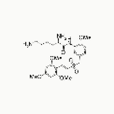 COc1cc(OC)c(/C=C/S(=O)(=O)Cc2ccc(OC)c(NC(=O)[C@H](N)CCCCN)c2)c(OC)c1